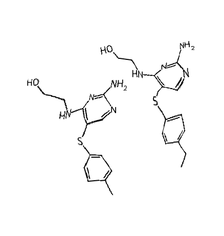 CCc1ccc(Sc2cnc(N)nc2NCCO)cc1.Cc1ccc(Sc2cnc(N)nc2NCCO)cc1